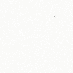 c1ccc(-c2c3ccccc3c(-c3ccc(-c4cccc5c4ccc4c6ccccc6sc54)c4ccccc34)c3ccccc23)cc1